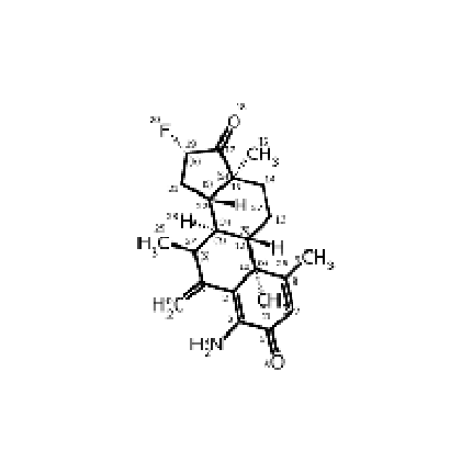 C=C1C2=C(N)C(=O)C=C(C)[C@]2(C)[C@H]2CC[C@]3(C)C(=O)[C@@H](F)C[C@H]3[C@@H]2[C@@H]1C